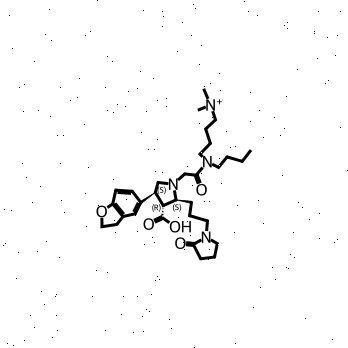 CCCCN(CCCC[N+](C)(C)C)C(=O)CN1C[C@H](c2ccc3c(c2)CCO3)[C@@H](C(=O)O)[C@@H]1CCCN1CCCC1=O